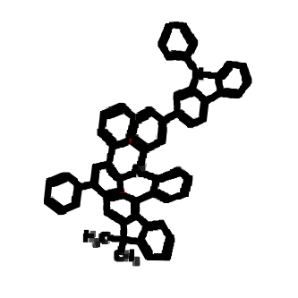 CC1(C)c2ccccc2-c2c(-c3ccccc3N(c3cccc(-c4ccc5c6ccccc6n(-c6ccccc6)c5c4)c3)c3ccc(-c4ccccc4)cc3-c3ccccc3)cccc21